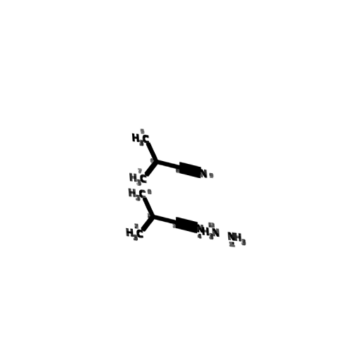 CC(C)C#N.CC(C)C#N.N.N